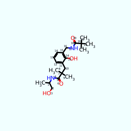 CC(CO)NC(=O)C(C)(C)Cc1cccc(CNC(=O)C(C)(C)C)c1O